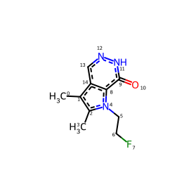 Cc1c(C)n(CCF)c2c(=O)[nH]ncc12